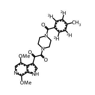 [2H]c1c([2H])c(C(=O)N2CCN(C(=O)C(=O)c3c[nH]c4c(OC)ncc(OC)c34)CC2)c([2H])c([2H])c1C